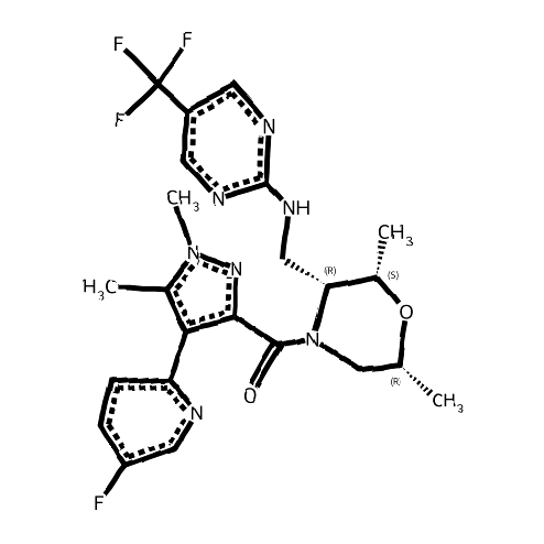 Cc1c(-c2ccc(F)cn2)c(C(=O)N2C[C@@H](C)O[C@@H](C)[C@H]2CNc2ncc(C(F)(F)F)cn2)nn1C